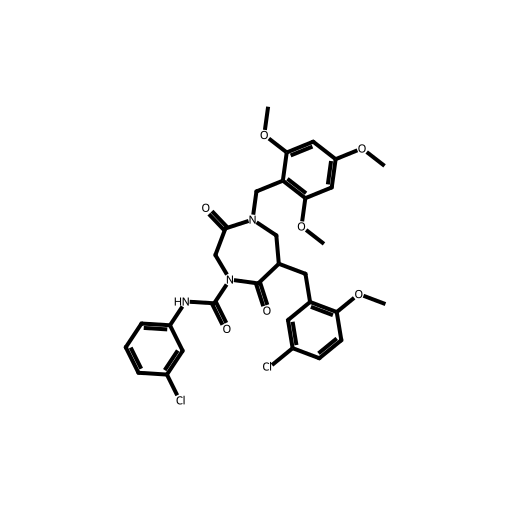 COc1cc(OC)c(CN2CC(Cc3cc(Cl)ccc3OC)C(=O)N(C(=O)Nc3cccc(Cl)c3)CC2=O)c(OC)c1